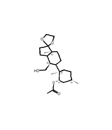 CC(=O)O[C@H]1C[C@@H](C)CC[C@]1(C)C1CC[C@@]2(C)C(CCC23OCCO3)[C@@H]1CO